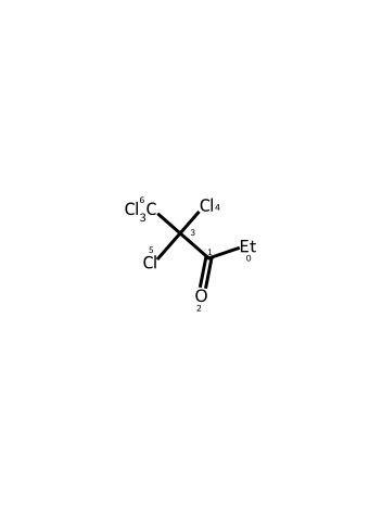 CCC(=O)C(Cl)(Cl)C(Cl)(Cl)Cl